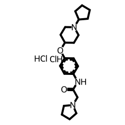 Cl.Cl.O=C(CN1CCCC1)Nc1ccc(OC2CCN(C3CCCC3)CC2)cc1